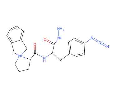 [N-]=[N+]=Nc1ccc(CC(NC(=O)C2CCC[N+]23Cc2ccccc2C3)C(=O)NN)cc1